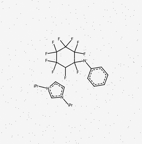 CC(C)n1cc[n+](C(C)C)c1.FC1C(F)(F)C(F)(F)C(F)(F)C(F)(F)C1(F)[N-]c1ccccc1